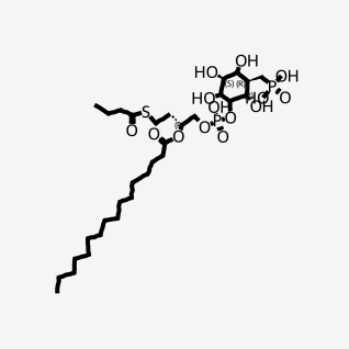 CCCCCCCCCCCCCCCC(=O)O[C@H](CCSC(=O)CCC)COP(=O)(O)OC1C(O)[C@@H](O)C(O)[C@@H](CP(=O)(O)O)[C@H]1O